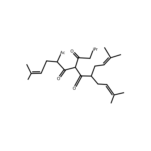 CC(=O)C(CC=C(C)C)C(=O)C(C(=O)CC(C)C)C(=O)C(CC=C(C)C)CC=C(C)C